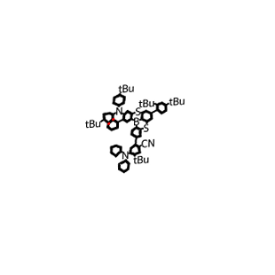 CC(C)(C)c1ccc(N(c2ccc(C(C)(C)C)cc2)c2cc3c(cc2-c2ccccc2)B2c4ccc(-c5cc(N(c6ccccc6)c6ccccc6)c(C(C)(C)C)cc5C#N)cc4Sc4cc(-c5ccc(C(C)(C)C)cc5C(C)(C)C)cc(c42)S3)cc1